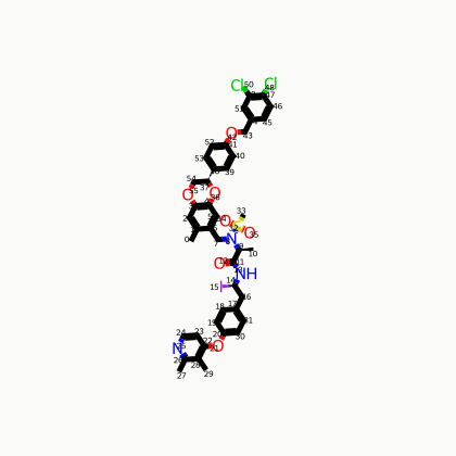 Cc1cc2c(cc1CN([C@@H](C)C(=O)N[C@H](I)Cc1ccc(Oc3ccnc(C)c3C)cc1)S(C)(=O)=O)O[C@@H](c1ccc(OCc3ccc(Cl)c(Cl)c3)cc1)CO2